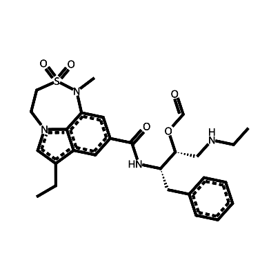 CCNC[C@@H](OC=O)[C@H](Cc1ccccc1)NC(=O)c1cc2c3c(c1)c(CC)cn3CCS(=O)(=O)N2C